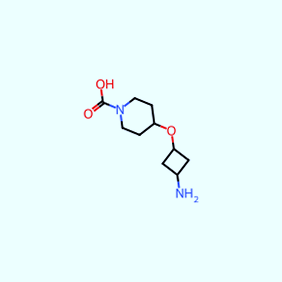 NC1CC(OC2CCN(C(=O)O)CC2)C1